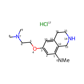 CNc1cc(OCCN(C)C)cc2c1CNCC2.Cl